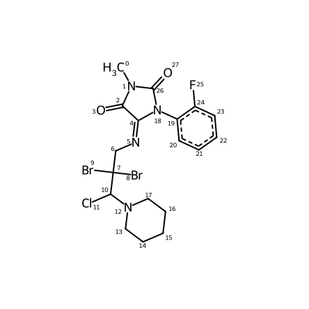 CN1C(=O)C(=NCC(Br)(Br)C(Cl)N2CCCCC2)N(c2ccccc2F)C1=O